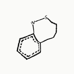 c1ccc2c(c1)CCS[N]2